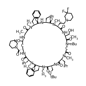 CCCCN1CC(=O)N(C)[C@@H](CC(C)C)C(=O)N[C@@H](COC(C)(C)C)C(=O)N(C)[C@@H](Cc2ccccc2)C(=O)N(C)[C@@H](C(C)C)C(=O)N[C@H](C(=O)N2CCCCC2)CC(O)N[C@H](C)C(=O)N(C)[C@@H](Cc2ccccc2)C(=O)N[C@@H](CC(C)C)C(=O)N(C)[C@@H](CCN2CCCC(F)(F)C2)C(=O)N[C@@H]([C@@H](C)O)C1=O